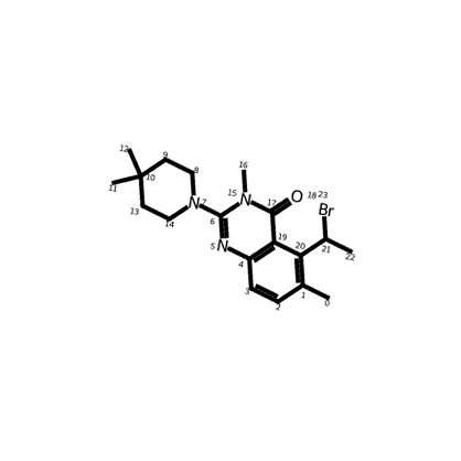 Cc1ccc2nc(N3CCC(C)(C)CC3)n(C)c(=O)c2c1C(C)Br